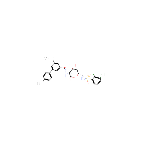 COc1cc(C(=O)N[C@H]2C(O)O[C@H](CNS(=O)(=O)c3cccc(Cl)c3Cl)C[C@@H]2O)cc(-c2ccc(C#N)cc2)c1